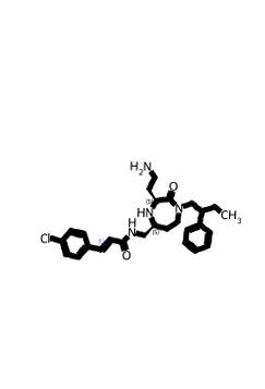 CCC(CN1CC[C@@H](CNC(=O)/C=C/c2ccc(Cl)cc2)N[C@@H](CCN)C1=O)c1ccccc1